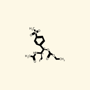 CCOC(=O)O[C@H](c1ccc(S(C)(=O)=O)cc1)[C@@H](CF)NC(C)=O